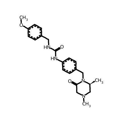 COc1ccc(CNC(=O)Nc2ccc(CN3C(=O)CN(C)C[C@@H]3C)cc2)cc1